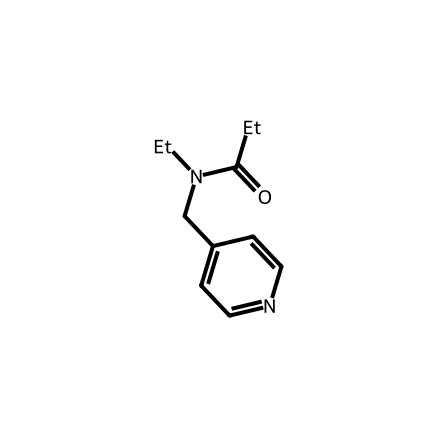 CCC(=O)N(CC)Cc1ccncc1